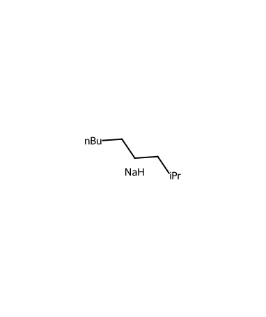 [CH2]CCCCCCC(C)C.[NaH]